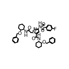 O=C(Cn1nc(NS(=O)(=O)c2ccc(F)cc2)cc1C(=O)N[C@H]1CCCC[C@@H]1OCc1ccccc1)N[C@H]1CCCC[C@@H]1OCc1ccccc1